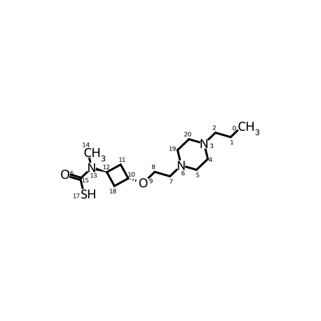 CCCN1CCN(CCO[C@H]2C[C@H](N(C)C(=O)S)C2)CC1